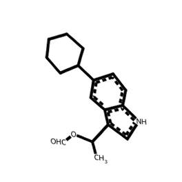 CC(OC=O)c1c[nH]c2ccc(C3CCCCC3)cc12